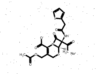 CC(=O)OCC1=C(C(=O)[O-])N2C(=O)[C@](NC(=O)Cc3cccs3)(C(C)=O)[C@H]2SC1.[Na+]